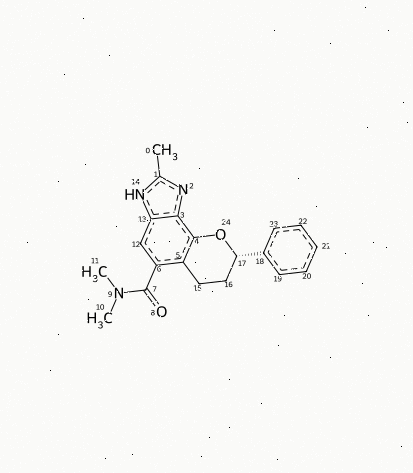 Cc1nc2c3c(c(C(=O)N(C)C)cc2[nH]1)CC[C@@H](c1ccccc1)O3